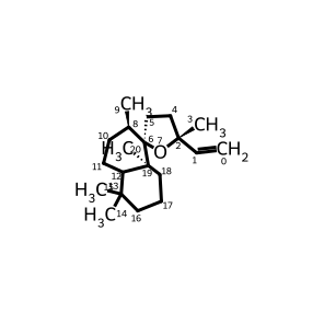 C=C[C@@]1(C)CC[C@@]2(O1)[C@H](C)CCC1C(C)(C)CCC[C@@]12C